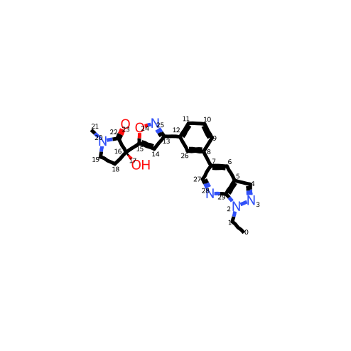 CCn1ncc2cc(-c3cccc(-c4cc([C@]5(O)CCN(C)C5=O)on4)c3)cnc21